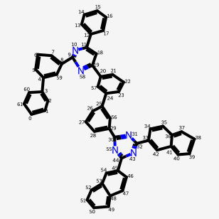 c1ccc(-c2cccc(-c3nc(-c4ccccc4)cc(-c4cccc(-c5cccc(-c6nc(-c7ccc8ccccc8c7)nc(-c7ccc8ccccc8c7)n6)c5)c4)n3)c2)cc1